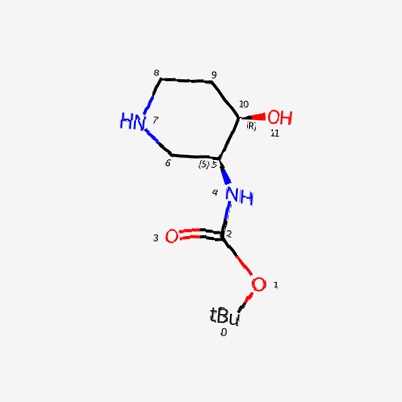 CC(C)(C)OC(=O)N[C@H]1CNCC[C@H]1O